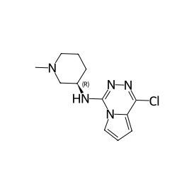 CN1CCC[C@@H](Nc2nnc(Cl)c3cccn23)C1